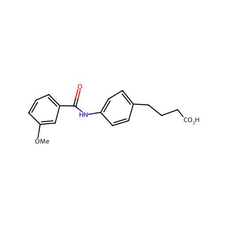 COc1cccc(C(=O)Nc2ccc(CCCC(=O)O)cc2)c1